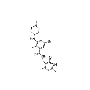 Cc1cc(C)c(CNC(=O)c2cc(Br)cc(NC3CCN(C)CC3)c2C)c(=O)[nH]1